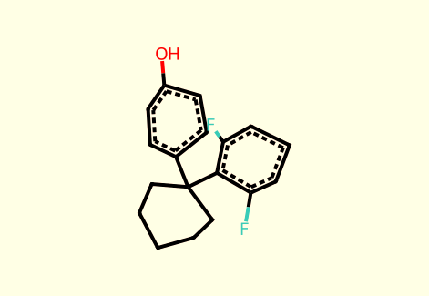 Oc1ccc(C2(c3c(F)cccc3F)CCCCC2)cc1